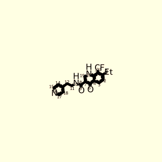 CCc1ccc2c(=O)c(C(=O)NCCc3ccncc3)c[nH]c2c1C(F)(F)F